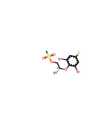 CC(C)[C@H](COS(C)(=O)=O)Oc1c(Br)cc(F)cc1Br